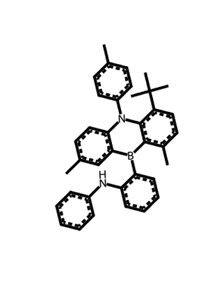 Cc1ccc(N2c3ccc(C)cc3B(c3ccccc3Nc3ccccc3)c3c(C)ccc(C(C)(C)C)c32)cc1